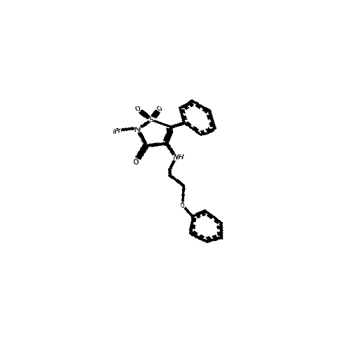 CC(C)N1C(=O)C(NCCOc2ccccc2)=C(c2ccccc2)S1(=O)=O